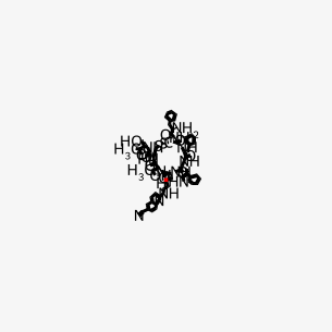 CC(O)C(CO)NC(=O)[C@@H]1CSSC[C@H](NC(=O)[C@H](N)Cc2ccccc2)C(=O)N[C@@H](Cc2ccccc2)C(=O)N[C@H](Cc2c[nH]c3ccccc23)C(=O)N[C@@H](CCCCNc2ccc3cc(C#N)ccc3n2)C(=O)N[C@@H]([C@@H](C)O)C(=O)N1